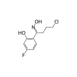 ON=C(CCCCl)c1ccc(F)cc1O